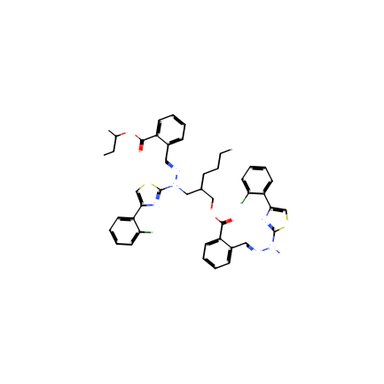 CCCCC(COC(=O)c1ccccc1/C=N/N(C)c1nc(-c2ccccc2Cl)cs1)CN(/N=C/c1ccccc1C(=O)OC(C)CC)c1nc(-c2ccccc2Cl)cs1